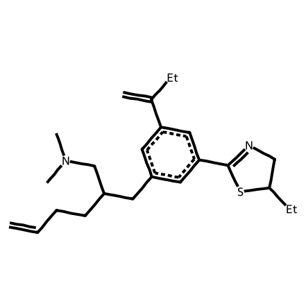 C=CCCC(Cc1cc(C(=C)CC)cc(C2=NCC(CC)S2)c1)CN(C)C